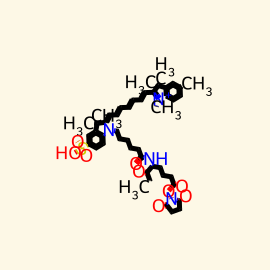 CCC(=O)C(CCCC(=O)ON1C(=O)CCC1=O)NC(=O)CCCCCN1\C(=C/C=C/C=C/C=C/C2=[N+](C)c3ccc(C)cc3C2(C)C)C(C)(C)c2cc(S(=O)(=O)O)ccc21